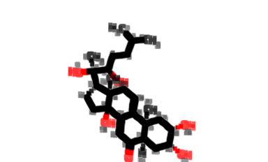 CC(C)CC[C@@H](O)[C@](C)(O)[C@H]1CC[C@@]2(O)C3=CC(=O)[C@@H]4C[C@@H](O)[C@@H](O)C[C@]4(C)C3=CC[C@]12C